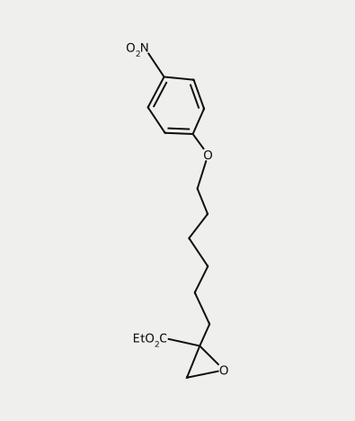 CCOC(=O)C1(CCCCCCOc2ccc([N+](=O)[O-])cc2)CO1